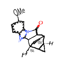 COc1ccc2nc3n(c2c1)C(=O)C1C3[C@@H]2C=CC1[C@H]1CC21